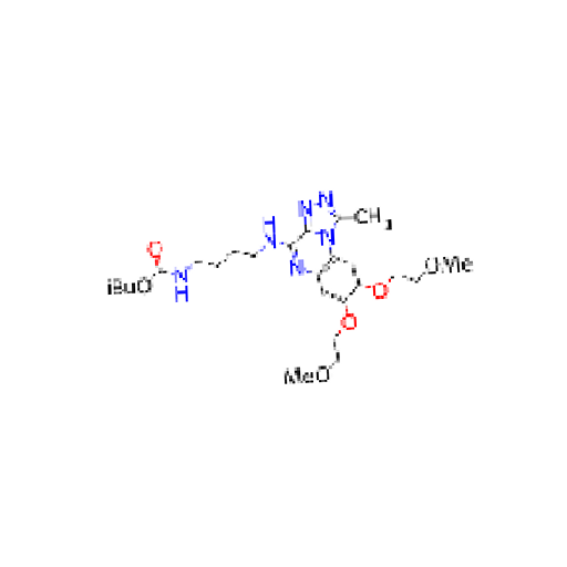 COCCOc1cc2nc(NCCCCNC(=O)OCC(C)C)c3nnc(C)n3c2cc1OCCOC